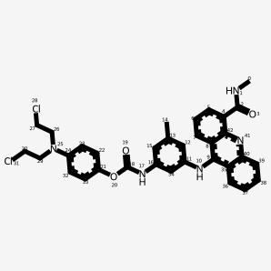 CNC(=O)c1cccc2c(Nc3cc(C)cc(NC(=O)Oc4ccc(N(CCCl)CCCl)cc4)c3)c3ccccc3nc12